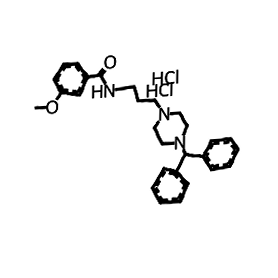 COc1cccc(C(=O)NCCCN2CCN(C(c3ccccc3)c3ccccc3)CC2)c1.Cl.Cl